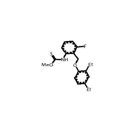 CCc1ccc(OCc2c(F)cccc2NC(=S)OC)c(CC)c1